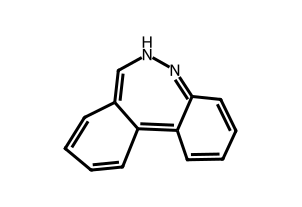 C1=c2ccccc2=c2ccccc2=NN1